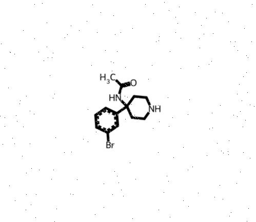 CC(=O)NC1(c2cccc(Br)c2)CCNCC1